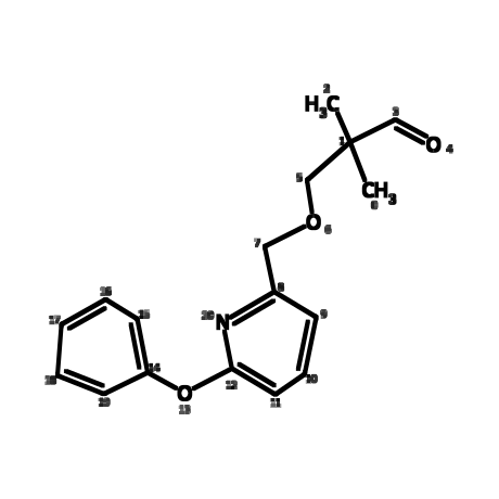 CC(C)(C=O)COCc1cccc(Oc2ccccc2)n1